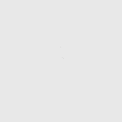 C[C@@](N)(S)C=O